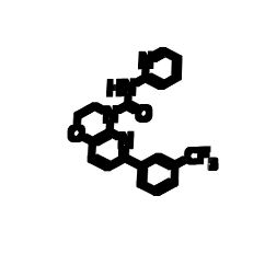 O=C(Nc1ccccn1)N1CCOc2ccc(-c3cccc(C(F)(F)F)c3)nc21